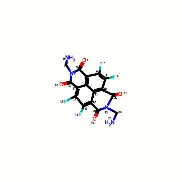 NCN1C(=O)c2c(F)c(F)c3c4c(c(F)c(F)c(c24)C1=O)C(=O)N(CN)C3=O